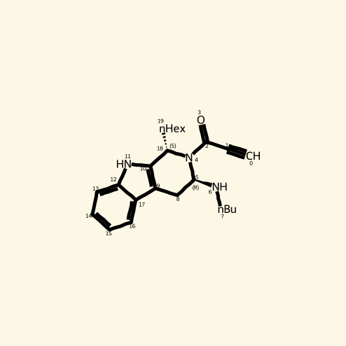 C#CC(=O)N1[C@@H](NCCCC)Cc2c([nH]c3ccccc23)[C@@H]1CCCCCC